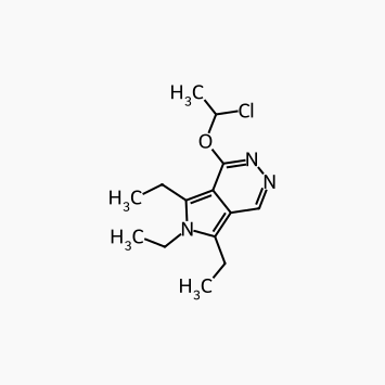 CCc1c2cnnc(OC(C)Cl)c2c(CC)n1CC